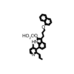 C/C=C/c1nccc(C)c1-c1cccc2c(CCCOc3cccc4ccccc34)c(OC(=O)O)[nH]c12